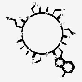 CC(C)C[C@@H]1NC(=O)[C@H](Cc2csc3c(Cl)cccc23)N(C)C(=O)[C@H](CC(C)C)NC(=O)[C@H](CC(C)C)N(C)C(=O)[C@H](CC(F)(F)F)NC(=O)C(CCC#N)OC(=O)[C@H](C)N(C)C1=O